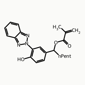 C=C(C)C(=O)OC(CCCCC)c1ccc(O)c(-n2nc3ccccc3n2)c1